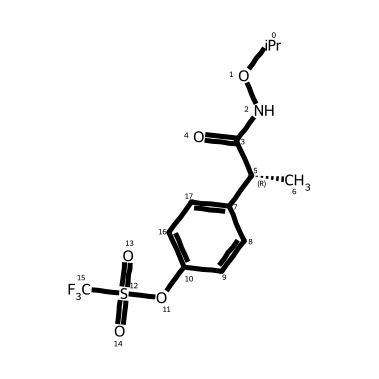 CC(C)ONC(=O)[C@H](C)c1ccc(OS(=O)(=O)C(F)(F)F)cc1